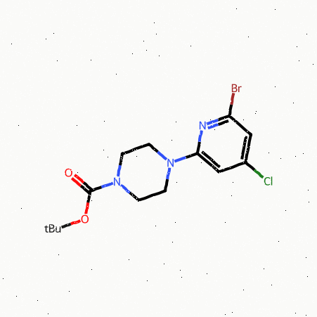 CC(C)(C)OC(=O)N1CCN(c2cc(Cl)cc(Br)n2)CC1